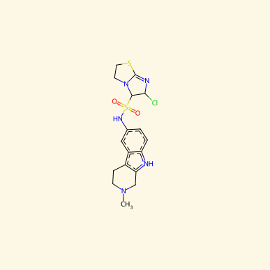 CN1CCc2c([nH]c3ccc(NS(=O)(=O)C4C(Cl)N=C5SCCN54)cc23)C1